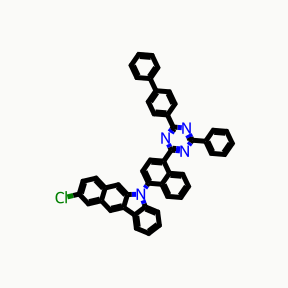 Clc1ccc2cc3c(cc2c1)c1ccccc1n3-c1ccc(-c2nc(-c3ccccc3)nc(-c3ccc(-c4ccccc4)cc3)n2)c2ccccc12